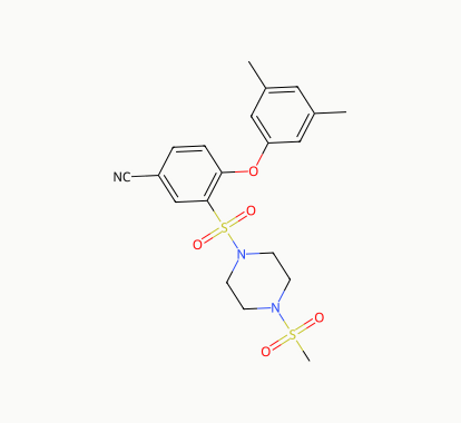 Cc1cc(C)cc(Oc2ccc(C#N)cc2S(=O)(=O)N2CCN(S(C)(=O)=O)CC2)c1